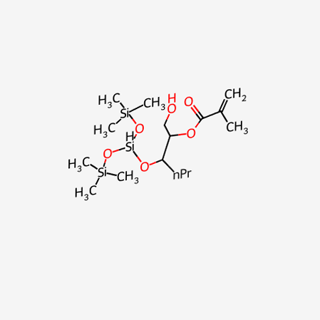 C=C(C)C(=O)OC(CO)C(CCC)O[SiH](O[Si](C)(C)C)O[Si](C)(C)C